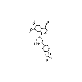 COc1cc2c(C#N)cnc(N3CCNC(c4ccc(OC(F)(F)F)cc4)C3)c2cc1OC